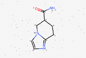 NC(=O)C1CCc2nccn2C1